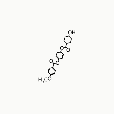 COc1ccc(C(=O)Oc2ccc(OC(=O)C3CCC(O)CC3)cc2)cc1